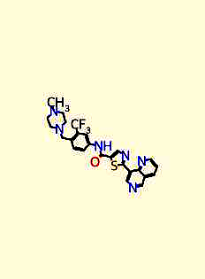 CN1CCN(Cc2ccc(NC(=O)c3cnc(-c4cncc5cccnc45)s3)cc2C(F)(F)F)CC1